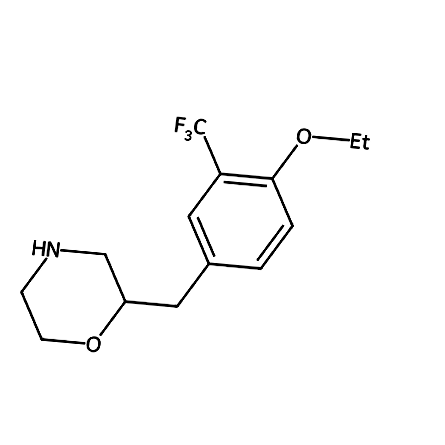 CCOc1ccc(CC2CNCCO2)cc1C(F)(F)F